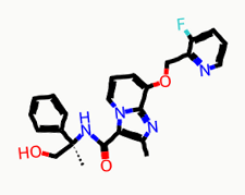 Cc1nc2c(OCc3ncccc3F)cccn2c1C(=O)N[C@@](C)(CO)c1ccccc1